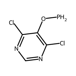 POc1c(Cl)ncnc1Cl